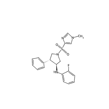 Cn1cnc(S(=O)(=O)N2C[C@@H](Nc3ccccc3F)[C@H](c3ccccc3)C2)c1